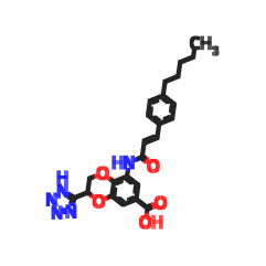 CCCCCc1ccc(C=CC(=O)Nc2cc(C(=O)O)cc3c2OCC(c2nnn[nH]2)O3)cc1